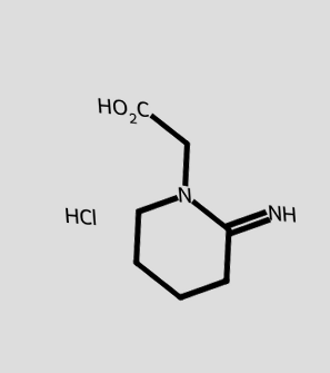 Cl.N=C1CCCCN1CC(=O)O